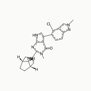 Cn1cc2c(Cl)c(-c3c[nH]c4nc(N5C[C@H]6CC[C@@H](C5)[C@H]6N)n(C)c(=O)c34)ccc2n1